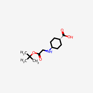 CC(C)(C)OC(=O)CN[C@H]1CC[C@H](C(=O)O)CC1